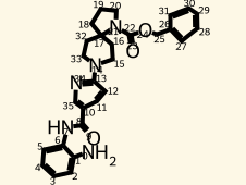 Nc1ccccc1NC(=O)c1ccc(N2CCC3(CCCN3C(=O)OCc3ccccc3)CC2)nc1